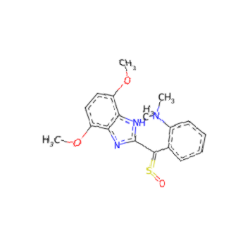 COc1ccc(OC)c2[nH]c(C(=S=O)c3ccccc3N(C)C)nc12